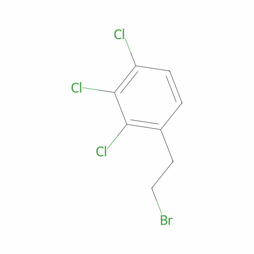 Clc1ccc(CCBr)c(Cl)c1Cl